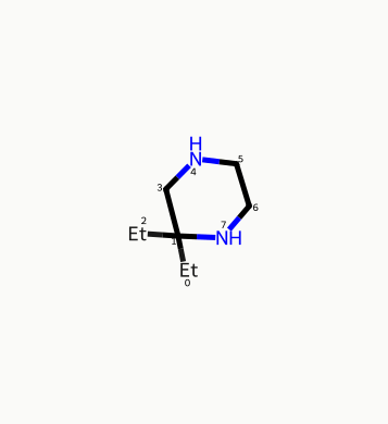 CCC1(CC)CNCCN1